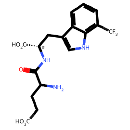 NC(CCC(=O)O)C(=O)N[C@@H](Cc1c[nH]c2c(C(F)(F)F)cccc12)C(=O)O